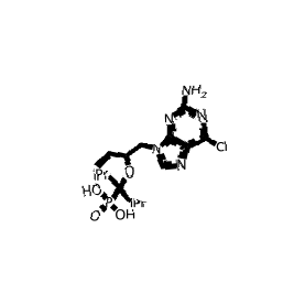 C=CC(Cn1cnc2c(Cl)nc(N)nc21)OC(C(C)C)(C(C)C)P(=O)(O)O